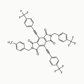 Cc1ccc(Cn2c(=O)c3c(C#Cc4ccc(C(F)(F)F)cc4)c4c(=O)n(Cc5ccc(C(F)(F)F)cc5)c(=O)c4c(C#Cc4ccc(C(F)(F)F)cc4)c3c2=O)cc1